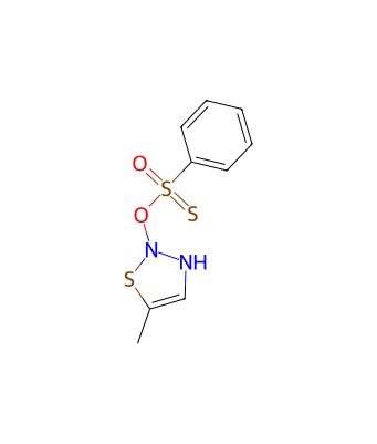 CC1=CNN(OS(=O)(=S)c2ccccc2)S1